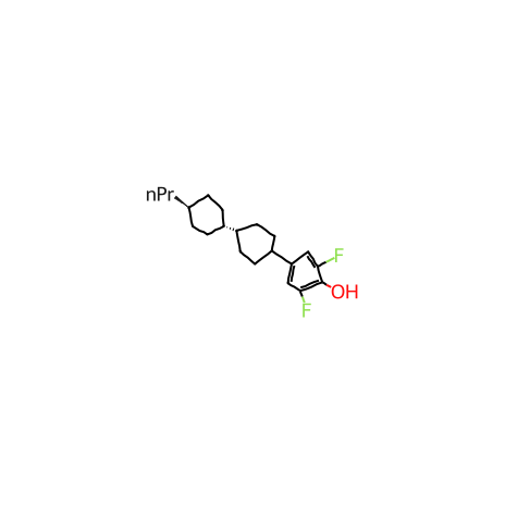 CCC[C@H]1CC[C@H](C2CCC(c3cc(F)c(O)c(F)c3)CC2)CC1